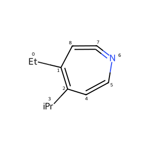 CCC1=C(C(C)C)C=CN=C=C1